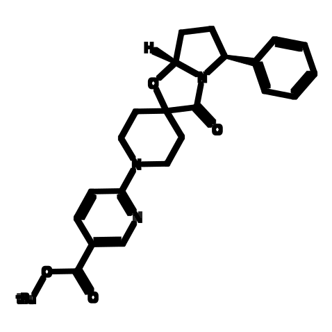 CC(C)(C)OC(=O)c1ccc(N2CCC3(CC2)O[C@@H]2CC[C@@H](c4ccccc4)N2C3=O)nc1